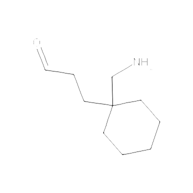 NCC1(CCC=O)CCCCC1